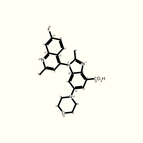 Cc1cc(-n2c(C)nc3c(C(=O)O)cc(N4CCOCC4)cc32)c2ccc(F)cc2n1